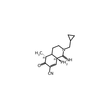 C[C@H]1C(=O)C(C#N)=C[C@@]2(P)C(=N)N(CC3CC3)CCC12